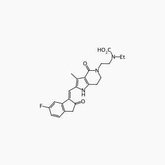 CCN(CCN1CCc2[nH]c(C=C3C(=O)Cc4ccc(F)cc43)c(C)c2C1=O)C(=O)O